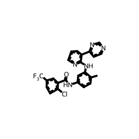 Cc1ccc(NC(=O)c2cc(C(F)(F)F)ccc2Cl)cc1Nc1ncccc1-c1ccncn1